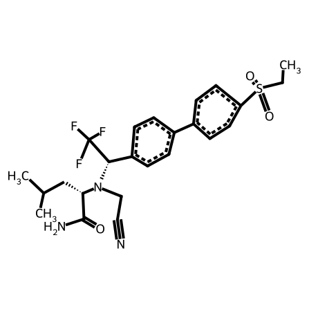 CCS(=O)(=O)c1ccc(-c2ccc([C@H](N(CC#N)[C@@H](CC(C)C)C(N)=O)C(F)(F)F)cc2)cc1